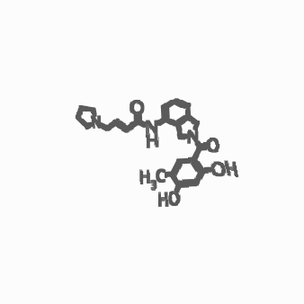 Cc1cc(C(=O)N2Cc3cccc(NC(=O)/C=C/CN4CCCC4)c3C2)c(O)cc1O